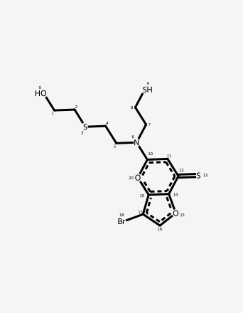 OCCSCCN(CCS)c1cc(=S)c2occ(Br)c2o1